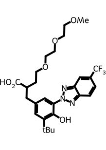 COCCOCCOCCC(Cc1cc(-n2nc3ccc(C(F)(F)F)cc3n2)c(O)c(C(C)(C)C)c1)C(=O)O